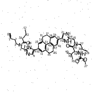 C=CCCN(Cc1ncc(-c2cc3c4c(c2)CCc2cc(-c5cnc(CN(CCC)C(=O)[C@@H](NC(=O)OC)C(C)C)[nH]5)cc(c2-4)CC3)[nH]1)C(=O)CCC